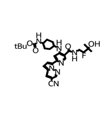 CC(C)(C)OC(=O)NC1CCC(Nc2cc(-c3ccc4cc(C#N)cnn34)ncc2C(=O)NC[C@@H](F)C(C)(C)O)CC1